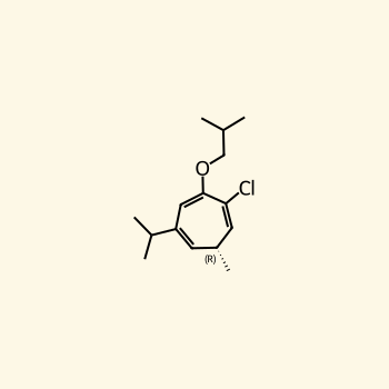 CC(C)COC1=CC(C(C)C)=C[C@@H](C)C=C1Cl